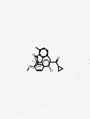 CO[C@]12C=CC3(C[C@]1(C)C=O)[C@H]1Cc4ccc(C)c5c4[C@@]3(CCN1C(=O)C1CC1)[C@H]2O5